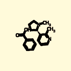 Cc1ncccc1[C@@H]1CCCN1C.O=C(O)c1ccccc1